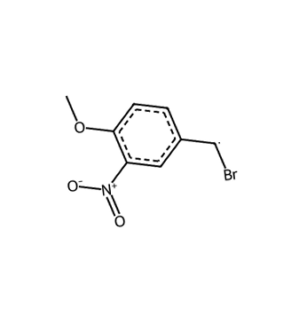 COc1ccc([CH]Br)cc1[N+](=O)[O-]